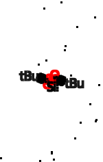 CC(C)(C)c1ccc(C(=O)OOC(=O)c2ccc(C(C)(C)C)cc2)cc1.[Si]